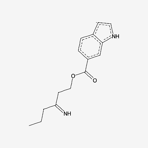 CCCC(=N)CCOC(=O)c1ccc2[c]c[nH]c2c1